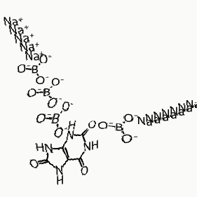 O=c1[nH]c(=O)c2[nH]c(=O)[nH]c2[nH]1.[Na+].[Na+].[Na+].[Na+].[Na+].[Na+].[Na+].[Na+].[Na+].[Na+].[Na+].[Na+].[O-]B([O-])[O-].[O-]B([O-])[O-].[O-]B([O-])[O-].[O-]B([O-])[O-]